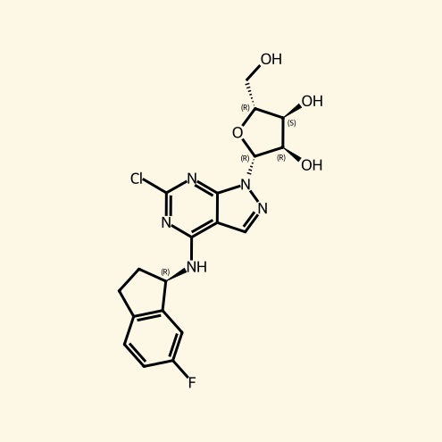 OC[C@H]1O[C@@H](n2ncc3c(N[C@@H]4CCc5ccc(F)cc54)nc(Cl)nc32)[C@H](O)[C@@H]1O